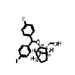 CN1[C@H]2CC[C@@H]1[C@@H](CO)[C@H](OC(c1ccc(F)cc1)c1ccc(F)cc1)C2